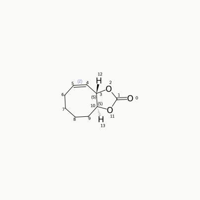 O=C1O[C@H]2/C=C\CCCC[C@@H]2O1